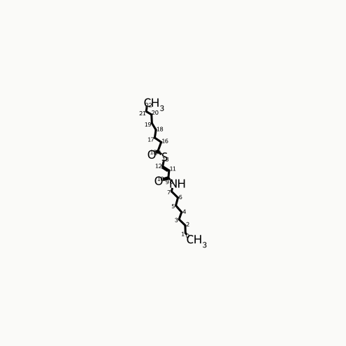 CCCCCCCCNC(=O)C=CSC(=O)CCCCCCC